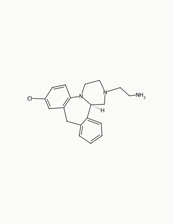 NCCN1CCN2c3ccc(Cl)cc3Cc3ccccc3[C@@H]2C1